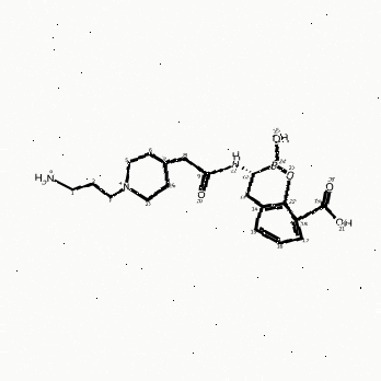 NCCCN1CCC(CC(=O)N[C@H]2Cc3cccc(C(=O)O)c3OB2O)CC1